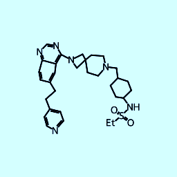 CCS(=O)(=O)NC1CCC(CN2CCC3(CC2)CN(c2ncnc4ccc(CCc5ccncc5)cc24)C3)CC1